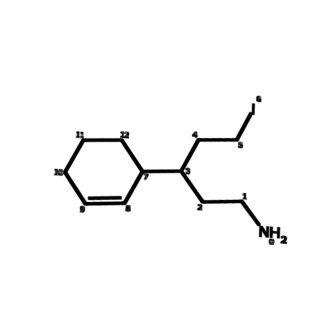 NCCC(CCI)C1C=CCCC1